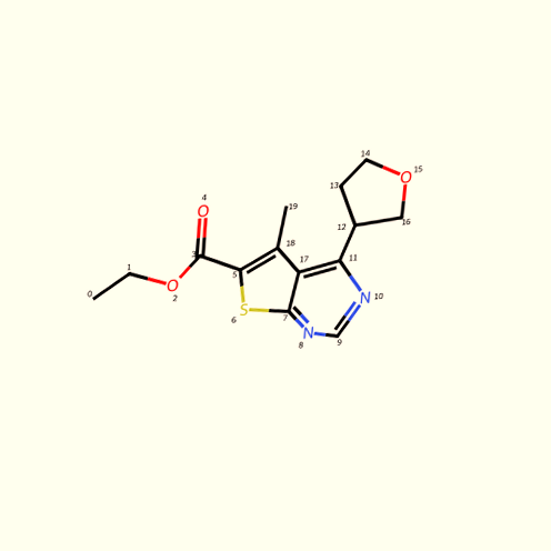 CCOC(=O)c1sc2ncnc(C3CCOC3)c2c1C